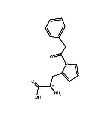 N[C@H](Cc1cncn1C(=O)Cc1ccccc1)C(=O)O